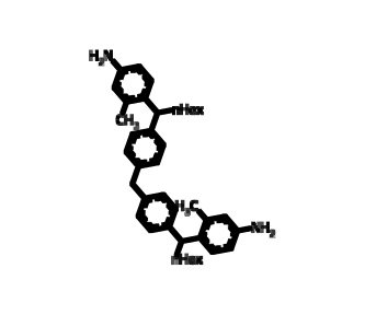 CCCCCCC(c1ccc(Cc2ccc(C(CCCCCC)c3ccc(N)cc3C)cc2)cc1)c1ccc(N)cc1C